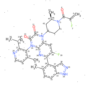 C=C(F)C(=O)N1CCC(n2c(=O)c(=O)n(-c3c(C)ccnc3C(C)C)c3nc(-c4c(C)ccc5[nH]ncc45)c(F)cc32)C[C@H]1C